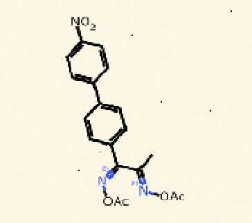 CC(=O)O/N=C(\C(C)=N\OC(C)=O)c1ccc(-c2ccc([N+](=O)[O-])cc2)cc1